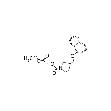 CCOC(=O)COC(=O)N1CCC(COc2cccc3ccccc23)C1